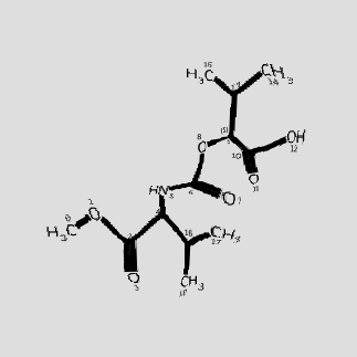 COC(=O)C(NC(=O)O[C@H](C(=O)O)C(C)C)C(C)C